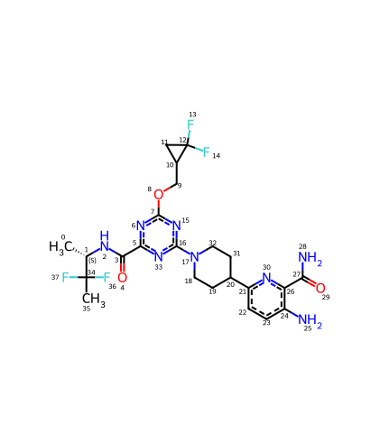 C[C@H](NC(=O)c1nc(OCC2CC2(F)F)nc(N2CCC(c3ccc(N)c(C(N)=O)n3)CC2)n1)C(C)(F)F